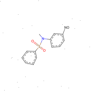 CN(c1cccc(N=O)c1)S(=O)(=O)c1ccccc1